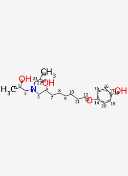 CC(O)CN(CCCCCCCCOc1ccc(O)cc1)CC(C)O